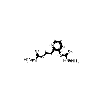 NNC(=S)SCCc1ncccc1SC(=S)NN